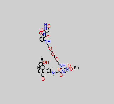 CC#C[C@]1(O)CCC2[C@@H]3CCC4=CC(=O)CCC4=C3[C@@H](c3ccc(N(C)CCCC(=O)N4CCN(C(=O)OC(C)(C)C)CC4C(=O)NCCCOCCOCCOCCCNc4cccc5c4C(=O)N(C4CCC(=O)NC4=O)C5=O)cc3)C[C@@]21C